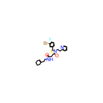 O=C(CC1SC(c2ccc(F)c(Br)c2)N(CCc2ccccn2)C1=O)NCCC1=CCCCC1